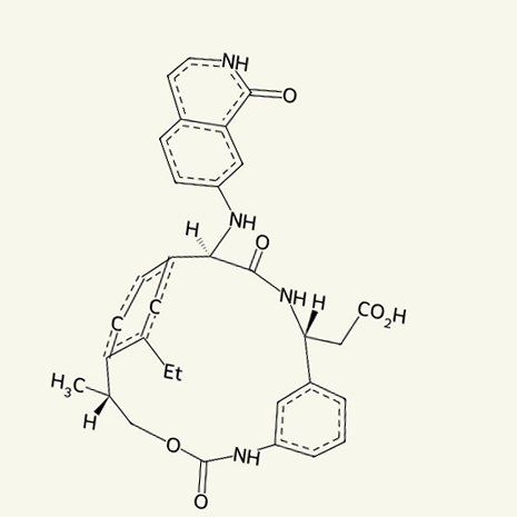 CCc1cc2ccc1[C@@H](C)COC(=O)Nc1cccc(c1)[C@@H](CC(=O)O)NC(=O)[C@@H]2Nc1ccc2cc[nH]c(=O)c2c1